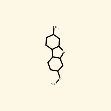 CCCCOC1CCC2C(C1)OC1CC(C)CCC12